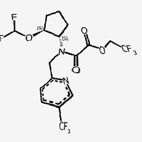 O=C(OCC(F)(F)F)C(=O)N(Cc1ccc(C(F)(F)F)cn1)[C@H]1CCC[C@@H]1OC(F)F